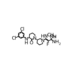 CN/C(=C(/F)C(=N)N)N1CCC[C@@H](N2CCCC(Nc3cc(Cl)cc(Cl)c3)C2=O)C1